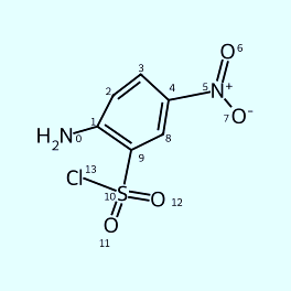 Nc1ccc([N+](=O)[O-])cc1S(=O)(=O)Cl